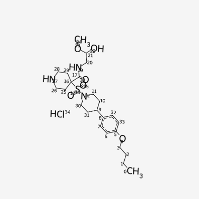 CCCCOc1ccc(C2CCN(S(=O)(=O)C3(C(=O)NCC(O)OC)CCNCC3)CC2)cc1.Cl